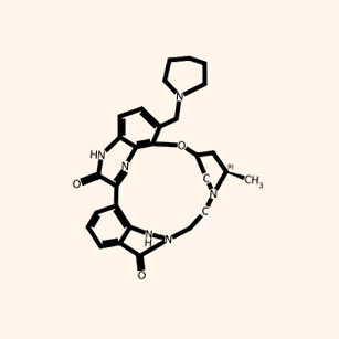 C[C@@H]1CC2CN1CCn1[nH]c3c(cccc3c1=O)-c1nc3c(c(CN4CCCCC4)ccc3[nH]c1=O)O2